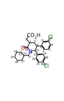 O=C(O)CC1CC(c2cccc(Cl)c2)C(c2ccc(Cl)cc2)N(CC2CCCCC2)C1=O